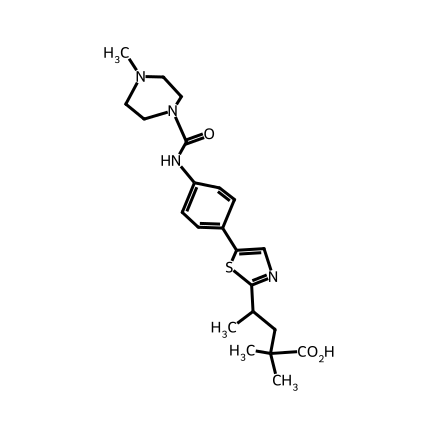 CC(CC(C)(C)C(=O)O)c1ncc(-c2ccc(NC(=O)N3CCN(C)CC3)cc2)s1